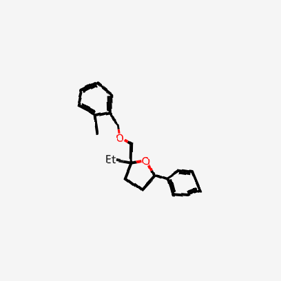 CCC1(COCc2ccccc2C)CCC(c2ccccc2)O1